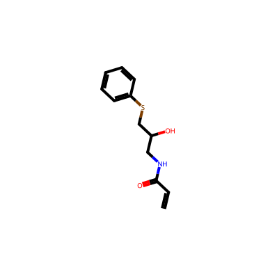 C=CC(=O)NCC(O)CSc1ccccc1